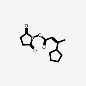 C/C(=C/C(=O)ON1C(=O)CCC1=O)C1CCCC1